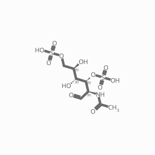 CC(=O)N[C@@H](C=O)[C@@H](OS(=O)(=O)O)[C@H](O)[C@H](O)COS(=O)(=O)O